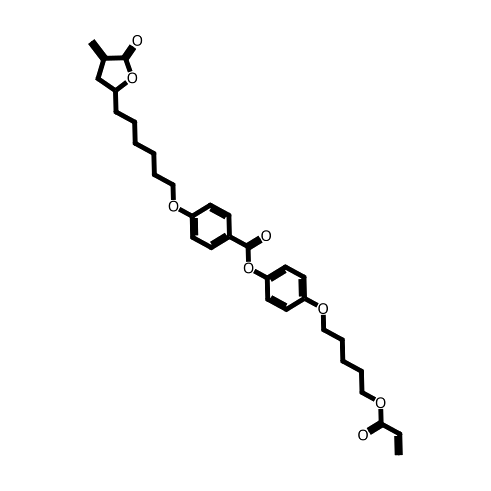 C=CC(=O)OCCCCCOc1ccc(OC(=O)c2ccc(OCCCCCCC3CC(=C)C(=O)O3)cc2)cc1